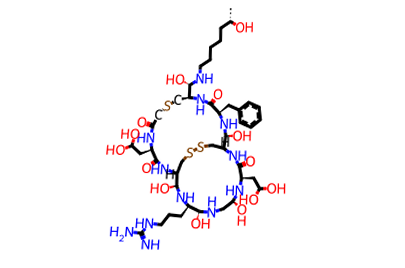 C[C@H](O)CCCCCN[C@@H](O)[C@@H]1CSCC(=O)N[C@H](CC(O)O)C(=O)N[C@H]2CSSC[C@H](NC(=O)[C@@H](CC(O)O)N[C@@H](O)CN[C@H](O)[C@@H](CCCNC(=N)N)N[C@H]2O)[C@H](O)N[C@H](Cc2ccccc2)C(=O)N1